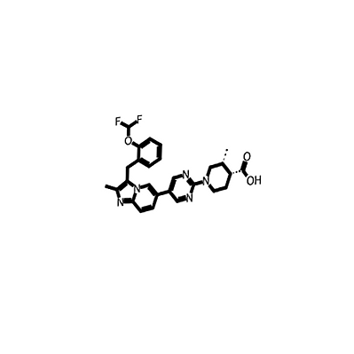 Cc1nc2ccc(-c3cnc(N4CC[C@@H](C(=O)O)[C@@H](C)C4)nc3)cn2c1Cc1ccccc1OC(F)F